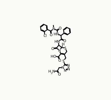 CN(C(=O)NC(C(=O)NC1C(=O)N2C(C(=O)O)=C(CSc3nnnn3CC(N)=O)CS[C@@H]12)c1ccccc1)C(=O)c1ccccc1Cl